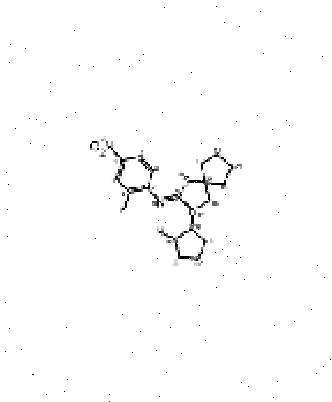 Cc1cc([N+](=O)[O-])ccc1N=C1SC2(CCCC2)CN1C1CCCC1C